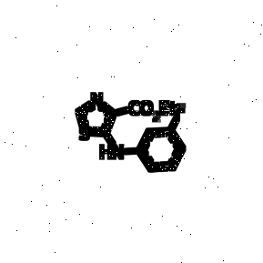 CCOC(=O)c1ncsc1Nc1cccc(F)c1